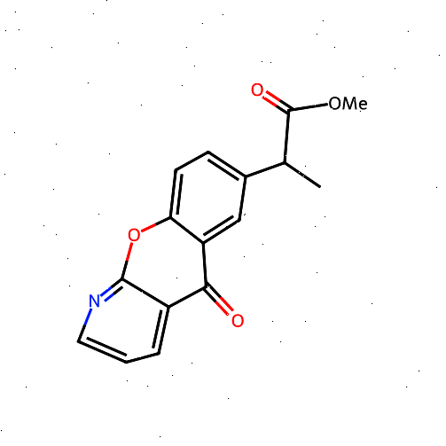 COC(=O)C(C)c1ccc2oc3ncccc3c(=O)c2c1